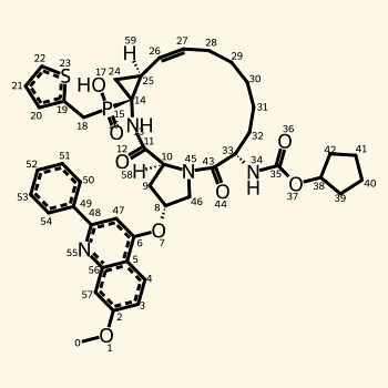 COc1ccc2c(O[C@@H]3C[C@H]4C(=O)N[C@]5(P(=O)(O)Cc6cccs6)C[C@H]5/C=C\CCCCC[C@H](NC(=O)OC5CCCC5)C(=O)N4C3)cc(-c3ccccc3)nc2c1